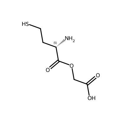 N[C@@H](CCS)C(=O)OCC(=O)O